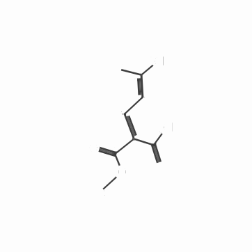 C=C(Cl)/C(=C\C=C(/C)Cl)C(=O)OC